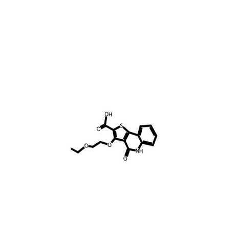 CCOCCOc1c(C(=O)O)sc2c1c(=O)[nH]c1ccccc12